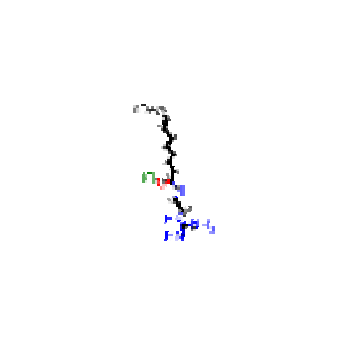 CCCCCCCCCCCCCCCCCC(=O)NCCNC(=N)N.Cl